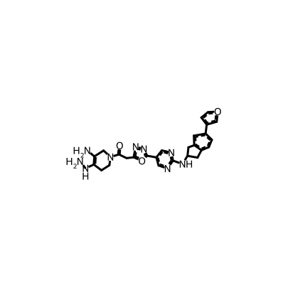 NNC1=C(N)CN(C(=O)Cc2nnc(-c3cnc(NC4Cc5ccc(-c6ccoc6)cc5C4)nc3)o2)CC1